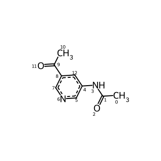 CC(=O)Nc1cncc(C(C)=O)c1